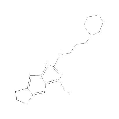 CO[n+]1nc(NCCCN2CCOCC2)nc2cc3c(cc21)OCC3